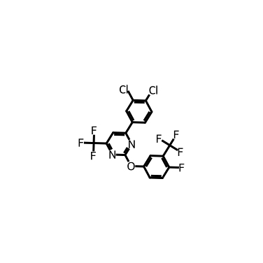 Fc1ccc(Oc2nc(-c3ccc(Cl)c(Cl)c3)cc(C(F)(F)F)n2)cc1C(F)(F)F